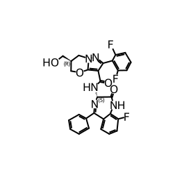 O=C(N[C@H]1N=C(c2ccccc2)c2cccc(F)c2NC1=O)c1c(-c2c(F)cccc2F)nn2c1OC[C@@H](CO)C2